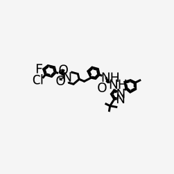 Cc1ccc(-n2nc(C(C)(C)C)cc2NC(=O)Nc2cccc(CC3CCN(S(=O)(=O)c4ccc(F)c(Cl)c4)CC3)c2)cc1